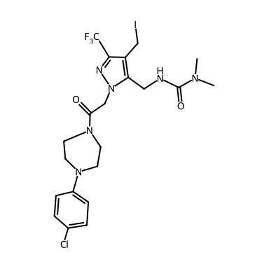 CN(C)C(=O)NCc1c(CI)c(C(F)(F)F)nn1CC(=O)N1CCN(c2ccc(Cl)cc2)CC1